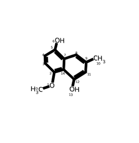 COc1ccc(O)c2cc(C)cc(O)c12